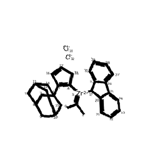 C[C](C)=[Zr+2]([C]1=C(C23CC4CC(CC(C4)C2)C3)C=CC1)[CH]1c2ccccc2-c2ccccc21.[Cl-].[Cl-]